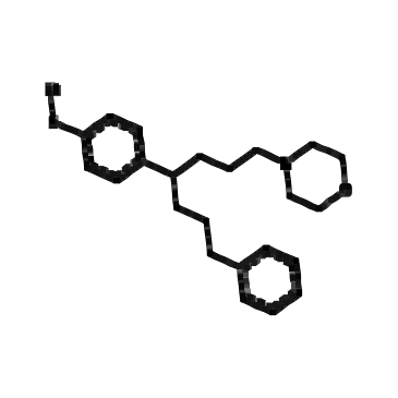 CCSc1ccc(C(CCCc2ccccc2)CCCN2CCOCC2)cc1